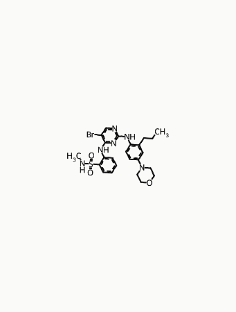 CCCc1cc(N2CCOCC2)ccc1Nc1ncc(Br)c(Nc2ccccc2S(=O)(=O)NC)n1